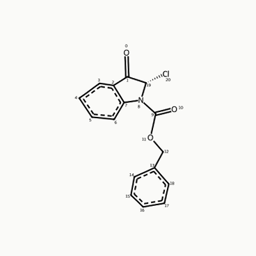 O=C1c2ccccc2N(C(=O)OCc2ccccc2)[C@H]1Cl